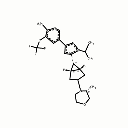 CC(C)n1nc(-c2cnc(N)c(OC(F)(F)F)c2)cc1[C@@H]1[C@@H]2CC(N3CCOC[C@H]3C)C[C@@H]21